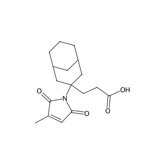 CC1=CC(=O)N(C2(CCC(=O)O)CC3CCCC(C3)C2)C1=O